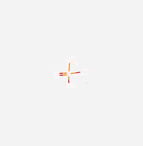 O=P(O)(O)P.[Fe]